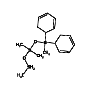 C[SiH2]O[Si](C)(C)O[Si](C)(C1C=CC=CC1)C1C=CC=CC1